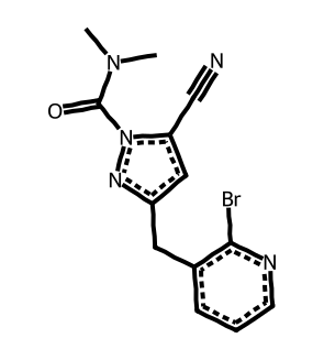 CN(C)C(=O)n1nc(Cc2cccnc2Br)cc1C#N